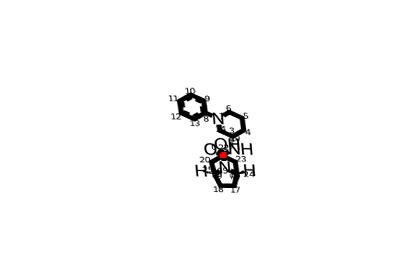 O=C(N[C@H]1CCCN(c2ccccc2)C1)N1[C@H]2CC[C@H]1CC(O)C2